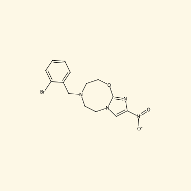 O=[N+]([O-])c1cn2c(n1)OCCN(Cc1ccccc1Br)CC2